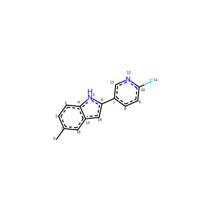 Cc1ccc2[nH]c(-c3ccc(F)nc3)cc2c1